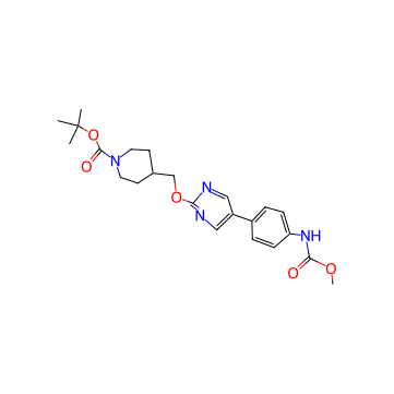 COC(=O)Nc1ccc(-c2cnc(OCC3CCN(C(=O)OC(C)(C)C)CC3)nc2)cc1